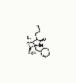 CC[C@@]12OC(=O)[C@]1([C@@H](O)C1C=CCCC1)NC(=O)[C@@H]2CCCl